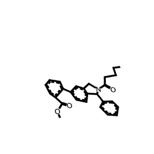 CCCCC(=O)N1Cc2cc(-c3ccccc3C(=O)OC)ccc2C1c1ccccc1